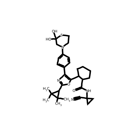 CC1(C)C(c2nc(-c3ccc(N4CCSC(O)(O)C4)cc3)c(C3CCCCC3C(=O)NC3(C#N)CC3)o2)C1(C)C